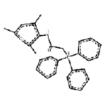 Cc1cc(C)c(NC(=O)C[PH](c2ccccc2)(c2ccccc2)c2ccccc2)c(C)c1